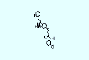 O=C(CCSc1ccc2c(/C=C/c3ccccn3)n[nH]c2c1)Nc1cccc(Cl)c1